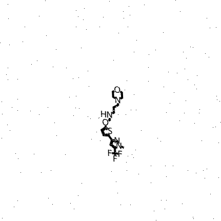 Cn1nc(-c2ccc(OCNCCCN3CCOCC3)s2)cc1C(F)(F)F